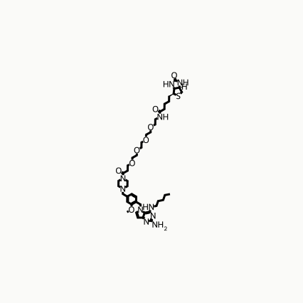 CCCCCNc1nc(N)nc2ccn(Cc3ccc(CN4CCN(C(=O)CCOCCOCCOCCOCCNC(=O)CCCC[C@@H]5SC[C@@H]6NC(=O)NC65)CC4)cc3OC)c12